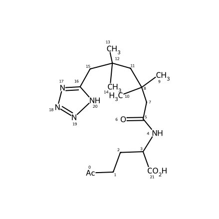 CC(=O)CCC(NC(=O)CC(C)(C)CC(C)(C)Cc1nnn[nH]1)C(=O)O